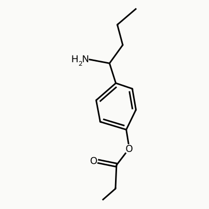 CCCC(N)c1ccc(OC(=O)CC)cc1